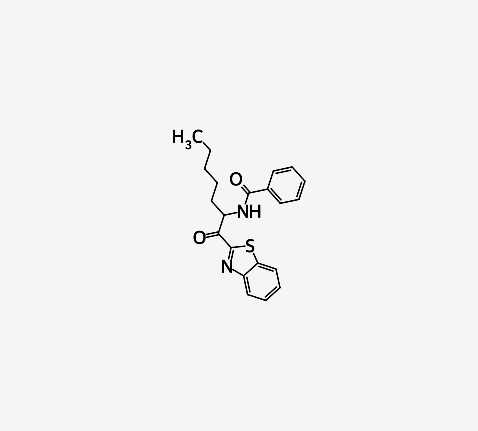 CCCCCC(NC(=O)c1ccccc1)C(=O)c1nc2ccccc2s1